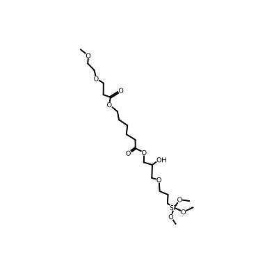 COCCOCCC(=O)OCCCCCC(=O)OCC(O)COCCC[Si](OC)(OC)OC